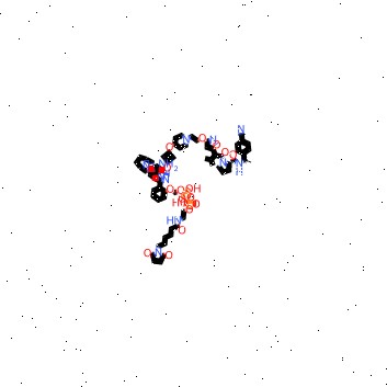 CC(C)C(C(=O)N1CCC[C@H]1C(=O)N[C@@H](C)c1ccc(C#N)cc1)c1cc(OCCN2CCC(O[C@H]3C[C@H](Oc4cc(N5C6CCC5CN(c5cc(-c7ccccc7OCOP(=O)(O)OP(=O)(O)OCCNC(=O)CCCCCN7C(=O)C=CC7=O)nnc5N)C6)ccn4)C3)CC2)no1